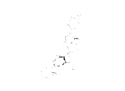 COc1cc(N2CCCOC2=O)cnc1N1CCCC2(CCN([C@H]3CC[C@@H](O)CC3)C2=O)C1